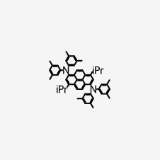 Cc1cc(C)cc(N(c2cc(C)cc(C)c2)c2cc(C(C)C)c3ccc4c(N(c5cc(C)cc(C)c5)c5cc(C)cc(C)c5)cc(C(C)C)c5ccc2c3c54)c1